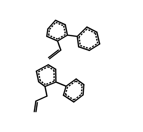 C=CCc1ccccc1-c1ccccc1.C=Cc1ccccc1-c1ccccc1